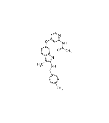 CC(=O)Nc1cc(Oc2ccc3c(c2)nc(NCc2ccc(C)cc2)n3C)ccn1